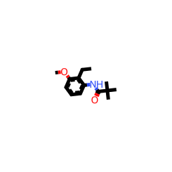 CCc1c(NC(=O)C(C)(C)C)cccc1OC